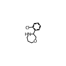 Clc1ccccc1C1COCCCN1